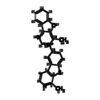 Cc1nccc2c1sc1ccc(-[n+]3cnc4c(oc5ccccc54)c3C)cc12